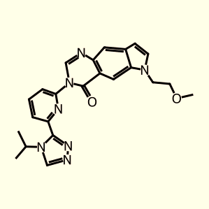 COCCn1ccc2cc3ncn(-c4cccc(-c5nncn5C(C)C)n4)c(=O)c3cc21